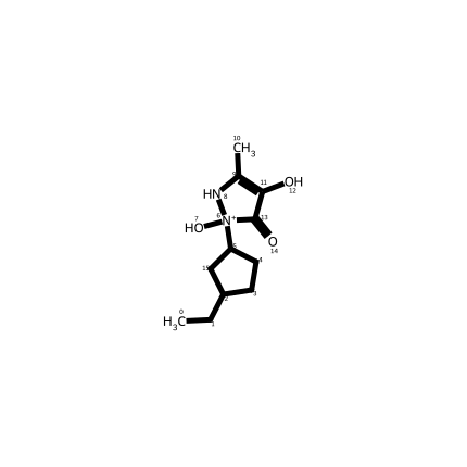 CCC1CCC([N+]2(O)NC(C)=C(O)C2=O)C1